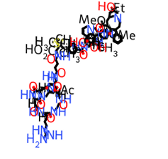 CC[C@]1(O)CC2CN(CCc3c([nH]c4ccccc34)[C@@](C(=O)OC)(c3cc4c(cc3OC)N(C)[C@H]3[C@@](O)(CNC(=O)c5ccc([Si](C)(C)C(C(NC(=O)CCC(=O)NCc6ccc(CN7C(=O)[C@H]8CC(=O)N[C@@H](CCCNC(=N)N)C(=O)NCC(=O)N[C@@H](CC(C)=O)C(=O)NC[C@H]7C(=O)N8)cc6)C(=O)O)[S+](C)C)cc5)[C@H](O)[C@]5(C)C=CCN6CC[C@]43[C@H]65)C2)C1